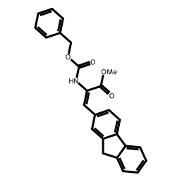 COC(=O)/C(=C\c1ccc2c(c1)Cc1ccccc1-2)NC(=O)OCc1ccccc1